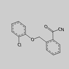 N#CC(=O)c1ccccc1COc1ccccc1Cl